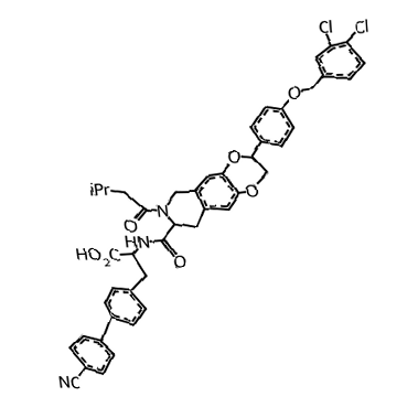 CC(C)CC(=O)N1Cc2cc3c(cc2CC1C(=O)NC(Cc1ccc(-c2ccc(C#N)cc2)cc1)C(=O)O)OCC(c1ccc(OCc2ccc(Cl)c(Cl)c2)cc1)O3